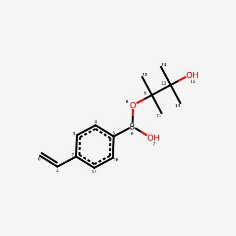 C=Cc1ccc(B(O)OC(C)(C)C(C)(C)O)cc1